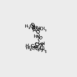 C=Cc1cc(CNC(=O)C=Cc2ccc(C(C)(C)C)cc2NC(C)C)cc(F)c1NS(C)(=O)=O